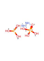 N.N.O=P(O)(O)O.OP(O)O